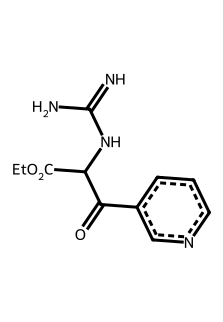 CCOC(=O)C(NC(=N)N)C(=O)c1cccnc1